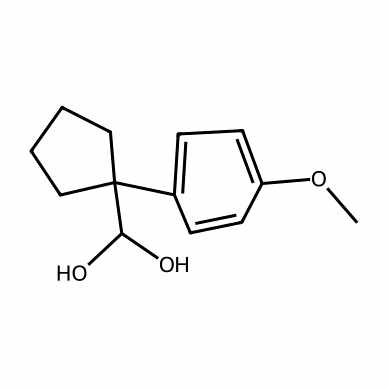 COc1ccc(C2(C(O)O)CCCC2)cc1